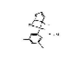 CCCCC1=CC=C[C]1([Ti+3])[Si](C)(C)c1cc(C)cc(C)c1.[Cl-].[Cl-].[Cl-]